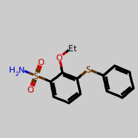 CCOc1c(Sc2ccccc2)cccc1S(N)(=O)=O